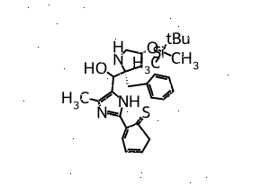 Cc1nc(C2=CC=CCC2=S)[nH]c1C(O)[C@]1(Cc2ccccc2)C[C@@H](O[Si](C)(C)C(C)(C)C)CN1